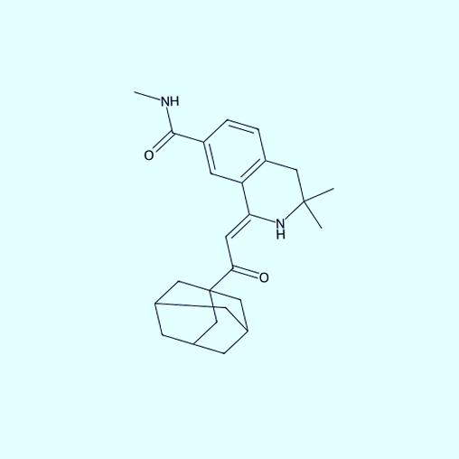 CNC(=O)c1ccc2c(c1)C(=CC(=O)C13CC4CC(CC(C4)C1)C3)NC(C)(C)C2